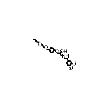 CC=CCOCCOCc1ccc(OCC(O)CNCCc2ccc(OC)c(OC)c2)cc1